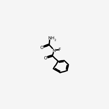 NC(=O)N(F)C(=O)c1ccccc1